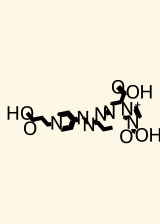 CCC(N=NCC(C(=O)O)[n+]1ccn(C(=O)O)c1)=NN=c1ccn(CCC(=O)O)cc1